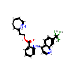 O=C(OCCC1CCCCCN1)c1ccccc1Nc1ccnc2cc(C(F)(F)F)ccc12